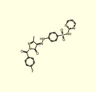 CC1=NN(C(=O)c2ccc(F)cc2)C(=O)/C1=N/Nc1ccc(S(=O)(=O)Nc2ncccn2)cc1